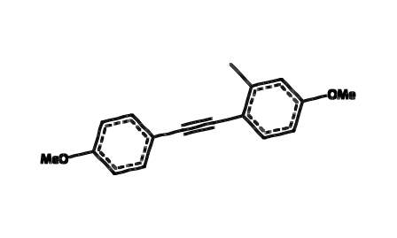 COc1ccc(C#Cc2ccc(OC)cc2C)cc1